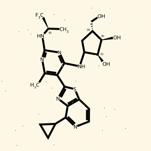 Cc1nc(N[C@H](C)C(F)(F)F)nc(NC2C[C@H](CO)[C@@H](O)[C@H]2O)c1-c1nc2c(C3CC3)nccc2s1